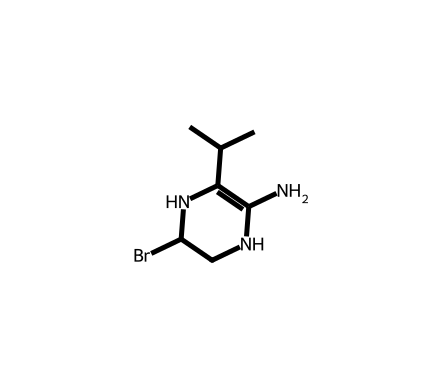 CC(C)C1=C(N)NCC(Br)N1